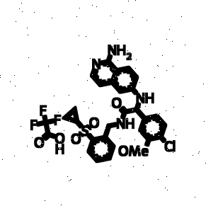 COc1cc(C(Nc2ccc3c(N)nccc3c2)C(=O)NCc2ccccc2S(=O)(=O)C2CC2)ccc1Cl.O=C(O)C(F)(F)F